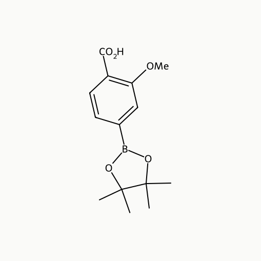 COc1cc(B2OC(C)(C)C(C)(C)O2)ccc1C(=O)O